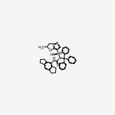 CC1Cn2ncc(S(=N)(=O)N(C(=O)Nc3c4c(cc5c3CCC5)CCC4)C(c3ccccc3)(c3ccccc3)c3ccccc3)c2O1